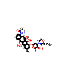 CO[C@@H]1CN([C@H]2C[C@H](O[C@H]3C[C@H](C(C)=O)Cc4c(O)c5c(c(O)c43)C(=O)Cc3c(NC(=O)C(F)(F)F)cccc3C5=O)O[C@@H](C)[C@H]2O)CCO1